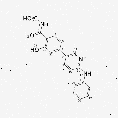 O=C(O)NC(=O)c1ccc(-c2ccc(Nc3ccccc3)nn2)cc1O